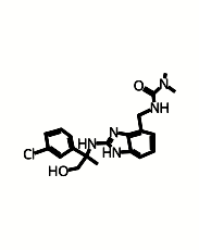 CN(C)C(=O)NCc1cccc2[nH]c(NC(C)(CO)c3cccc(Cl)c3)nc12